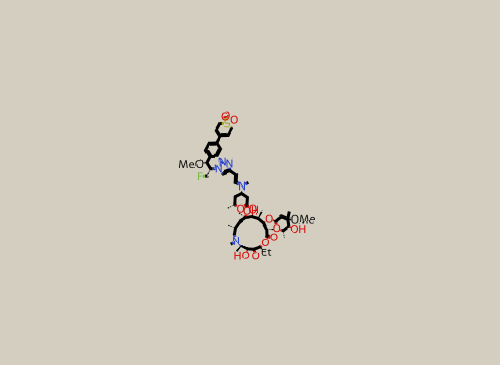 CC[C@H]1OC(=O)[C@H](C)[C@@H](O[C@H]2C[C@@](C)(OC)[C@@H](O)[C@H](C)O2)[C@H](C)[C@@H](O[C@H]2C[C@@H](N(C)CCc3cn([C@H](CF)[C@H](OC)c4ccc(C5=CCS(=O)(=O)CC5)cc4)nn3)C[C@@H](C)O2)[C@](C)(O)C[C@@H](C)CN(C)[C@H](C)[C@@H](O)C1=O